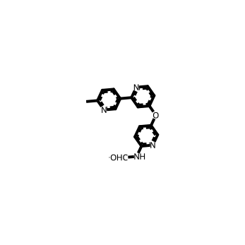 Cc1ccc(-c2cc(Oc3ccc(N[C]=O)nc3)ccn2)cn1